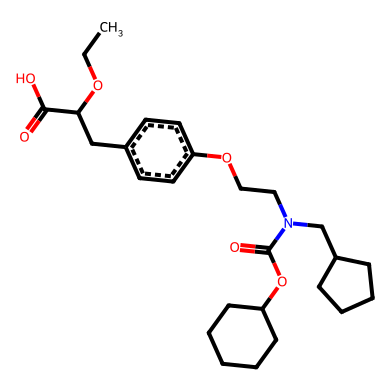 CCOC(Cc1ccc(OCCN(CC2CCCC2)C(=O)OC2CCCCC2)cc1)C(=O)O